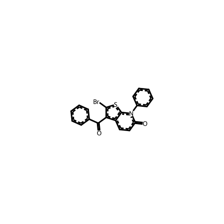 O=C(c1ccccc1)c1c(Br)sc2c1ccc(=O)n2-c1ccccc1